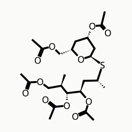 CC(=O)OC[C@@H]1C[C@H](OC(C)=O)C[C@@H](S[C@H](C)C[C@@H](OC(C)=O)[C@H](OC(C)=O)[C@H](C)COC(C)=O)O1